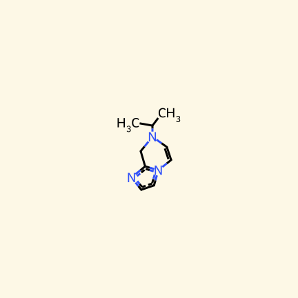 CC(C)N1C=Cn2ccnc2C1